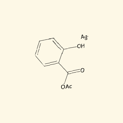 CC(=O)OC(=O)c1ccccc1O.[Ag]